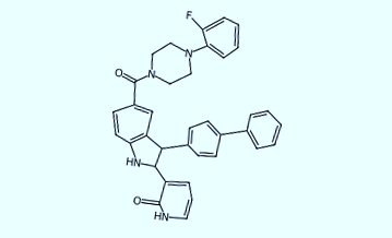 O=C(c1ccc2c(c1)C(c1ccc(-c3ccccc3)cc1)C(c1ccc[nH]c1=O)N2)N1CCN(c2ccccc2F)CC1